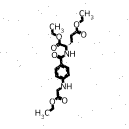 CCOC(=O)CC[C@H](NC(=O)c1ccc(NCC(=O)OCC)cc1)C(=O)OCC